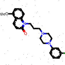 COc1cccc2c1ccc(=O)n2CCCN1CCN(c2cccc(Cl)c2)CC1